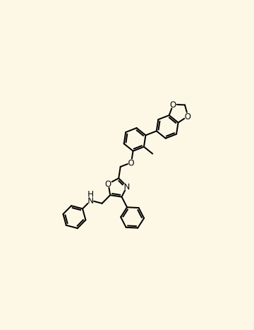 Cc1c(OCc2nc(-c3ccccc3)c(CNc3ccccc3)o2)cccc1-c1ccc2c(c1)OCO2